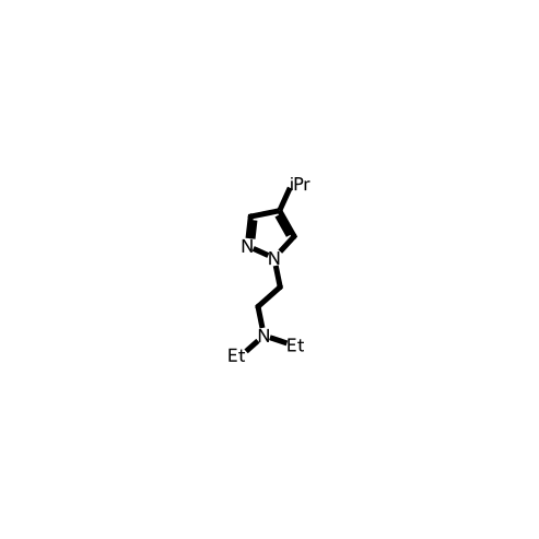 CCN(CC)CCn1cc(C(C)C)cn1